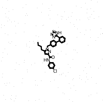 CCCCc1cc(C(=O)Nc2ccc(Cl)cc2)nn1Cc1ccc(-c2ccccc2-c2nnn[nH]2)cc1